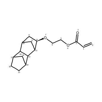 C=CC(=O)OCCO[C@@H]1CC2CC1C1C3CCC(C3)C21